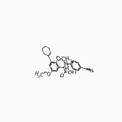 CCOc1cc(C2CCCCC2)c(OC)c(C(Nc2ccc(C#N)cc2)C(=O)O)c1